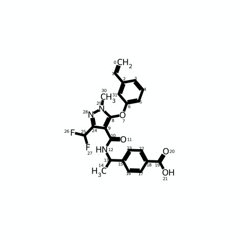 C=Cc1cccc(Oc2c(C(=O)NC(C)c3ccc(C(=O)O)cc3)c(C(F)F)nn2C)c1